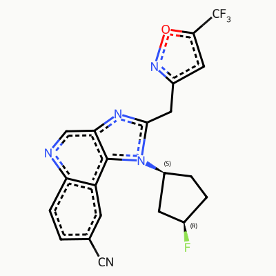 N#Cc1ccc2ncc3nc(Cc4cc(C(F)(F)F)on4)n([C@H]4CC[C@@H](F)C4)c3c2c1